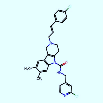 Cc1cc2c3c(n(C(=O)NCc4ccnc(Cl)c4)c2cc1C(F)(F)F)CCN(CC=Cc1ccc(Cl)cc1)C3